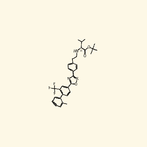 Cc1ccccc1-c1ccc(-c2nc(-c3ccc(CCN[C@H](C(=O)OC(C)(C)C)C(C)C)cc3)no2)cc1C(F)(F)F